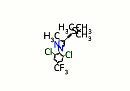 Cc1nn(-c2c(Cl)cc(C(F)(F)F)cc2Cl)cc1C#C[Si](C)(C)C